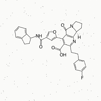 O=C(NC1CCc2ccccc21)c1coc(-c2c(C(=O)O)c(CCc3ccc(F)cc3)nc3c2C(=O)N2CCC[C@@H]32)c1